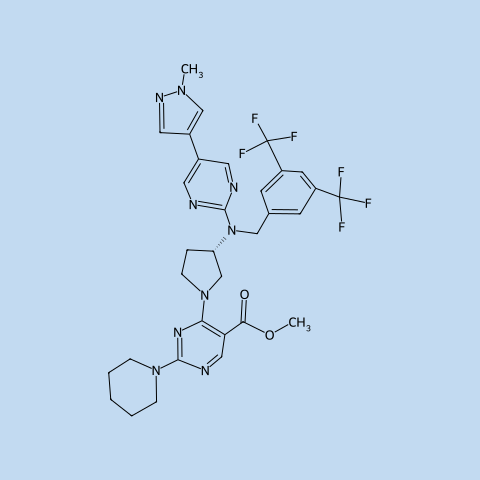 COC(=O)c1cnc(N2CCCCC2)nc1N1CC[C@H](N(Cc2cc(C(F)(F)F)cc(C(F)(F)F)c2)c2ncc(-c3cnn(C)c3)cn2)C1